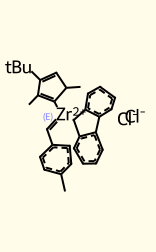 CC1=[C](/[Zr+2](=[CH]/c2ccc(C)cc2)[CH]2c3ccccc3-c3ccccc32)C(C)C=C1C(C)(C)C.[Cl-].[Cl-]